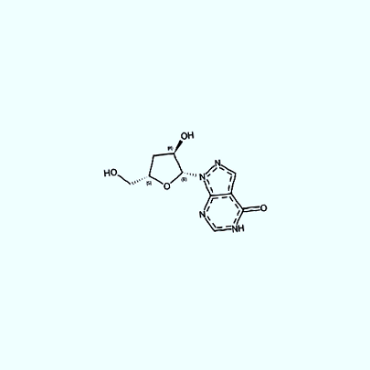 O=c1[nH]cnc2c1cnn2[C@@H]1O[C@H](CO)C[C@H]1O